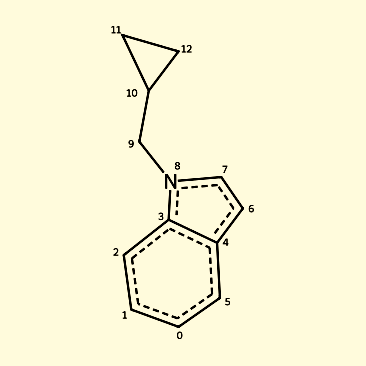 c1ccc2c(c1)ccn2CC1CC1